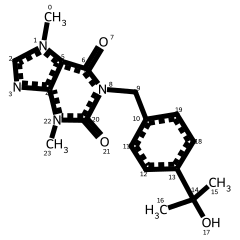 Cn1cnc2c1c(=O)n(Cc1ccc(C(C)(C)O)cc1)c(=O)n2C